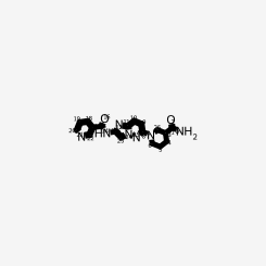 NC(=O)C1CCCN(c2ccc3nc(NC(=O)c4cccnc4)cn3n2)C1